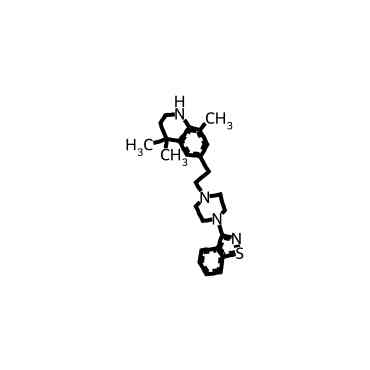 Cc1cc(CCN2CCN(c3nsc4ccccc34)CC2)cc2c1NCCC2(C)C